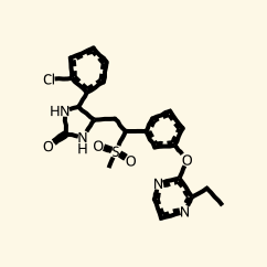 CCc1nccnc1Oc1cccc(C(CC2NC(=O)NC2c2ccccc2Cl)S(C)(=O)=O)c1